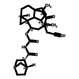 C#CC[C@]1(C)C[C@@H](OC(=O)NC(=O)[C@H]2CN3CC[C@@H]2C3)[C@]23C[C@@H]2CCC2(CC[C@@H](OC)C23)[C@@H](C)C1=O